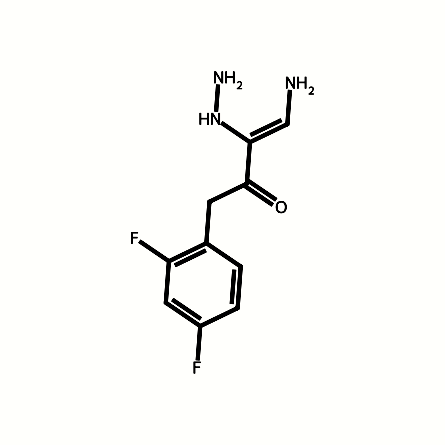 N/C=C(\NN)C(=O)Cc1ccc(F)cc1F